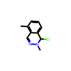 Cc1cccc2c1C=NN(C)C2Cl